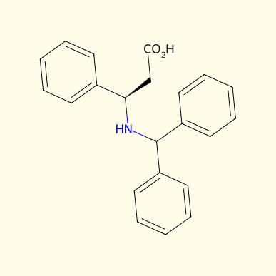 O=C(O)C[C@@H](NC(c1ccccc1)c1ccccc1)c1ccccc1